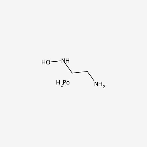 NCCNO.[PoH2]